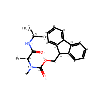 CC(C)[C@@H](C(=O)N[C@@H](C(=O)O)C(C)C)N(C)C(=O)OCC1c2ccccc2-c2ccccc21